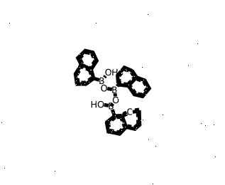 OB(OB(OB(O)c1cccc2ccccc12)c1cccc2ccccc12)c1cccc2ccccc12